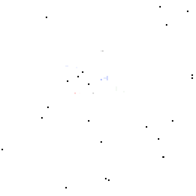 CC(C)(C)C(N)NC(=O)c1ccc(Cl)cc1.Cl